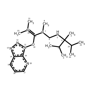 CC(C)C(C)(NCN(C)C(On1nnc2cccnc21)=[N+](C)C)C(C)C